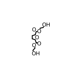 O=C(OCCO)C1CCC(C(=O)OCCO)O1